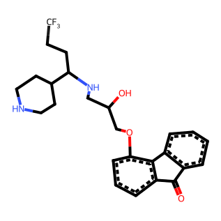 O=C1c2ccccc2-c2c(OCC(O)CNC(CCC(F)(F)F)C3CCNCC3)cccc21